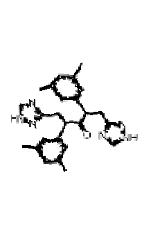 Cc1cc(C)cc(C(Cc2nc[nH]n2)C(=O)C(Cc2nc[nH]n2)c2cc(C)cc(C)c2)c1